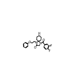 O=C1CN(C(=O)c2ccc(F)c(F)c2)C2(CCNCC2)N1CCOc1ccccc1